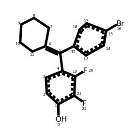 Oc1ccc(C(=C2CCCCC2)c2ccc(Br)cc2)c(F)c1F